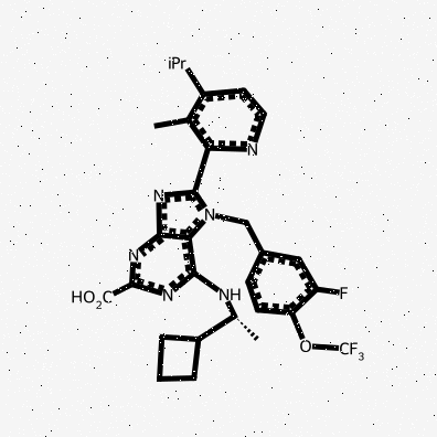 Cc1c(C(C)C)ccnc1-c1nc2nc(C(=O)O)nc(N[C@H](C)C3CCC3)c2n1Cc1ccc(OC(F)(F)F)c(F)c1